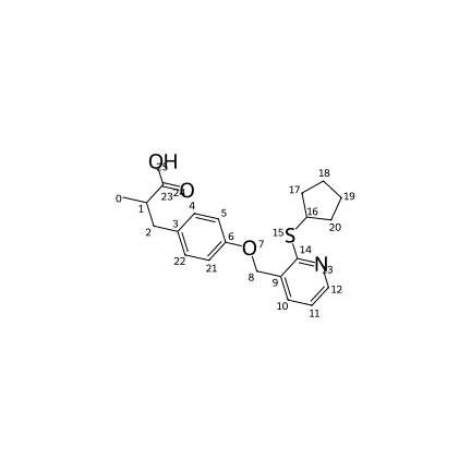 CC(Cc1ccc(OCc2cccnc2SC2CCCC2)cc1)C(=O)O